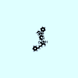 CCN(c1ccccc1)S(=O)(=O)c1ccc(-n2[nH]c(C)c(CCCc3ccccc3)c2=O)nc1